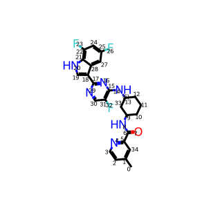 Cc1ccnc(C(=O)NC2CCC[C@H](Nc3nc(-c4c[nH]c5c(F)cc(F)cc45)ncc3F)C2)c1